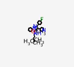 CC(C)(C)CCCNC(=O)C1(C)C(c2ccncc2)C(c2ccc(F)cc2)=NN1c1ccccc1